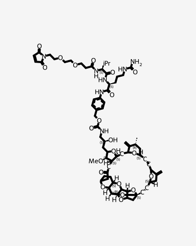 C=C1C[C@@H]2CC[C@@]34CC5O[C@@H]6C(O[C@H]7CCC(CC(=O)C[C@H]8[C@H](CC9O[C@@H](CCC1O2)C[C@@H](C)C9=C)OC(C[C@H](O)CNC(=O)OCc1ccc(NC(=O)[C@H](CCCNC(N)=O)NC(=O)[C@@H](NC(=O)CCOCCOCCN2C(=O)C=CC2=O)C(C)C)cc1)[C@@H]8OC)O[C@@H]7[C@@H]6O3)[C@@H]5O4